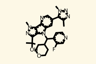 Cc1nnn(C)c1-c1cnc2c3c(c(C(C)(C)O)nn3C)n(C(c3ccncc3F)C3CCOCC3)c2c1